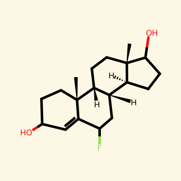 C[C@]12CCC(O)C=C1C(F)C[C@@H]1[C@H]2CC[C@]2(C)C(O)CC[C@@H]12